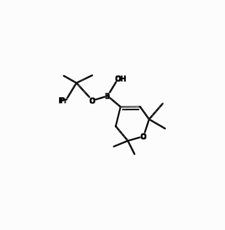 CC(C)C(C)(C)OB(O)C1=CC(C)(C)OC(C)(C)C1